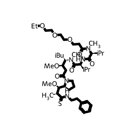 CCOCCOCCOCCC(=O)N(C)[C@H](C(=O)N[C@H](C(=O)N(C)[C@@H]([C@@H](C)CC)[C@@H](CC(=O)N1CCC[C@H]1[C@H](OC)[C@@H](C)C(=S)NCCc1ccccc1)OC)C(C)C)C(C)C